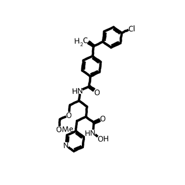 C=C(c1ccc(Cl)cc1)c1ccc(C(=O)NC(COCOC)CC(Cc2cccnc2)C(=O)NO)cc1